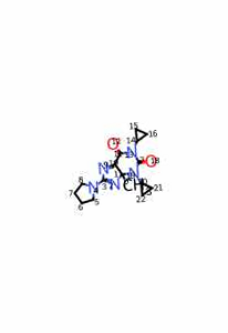 CC12N=C(N3CCCC3)N=C1C(=O)N(C1CC1)C(=O)N2C1CC1